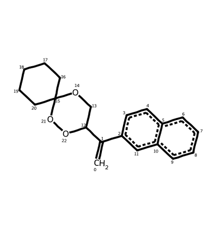 C=C(c1ccc2ccccc2c1)C1COC2(CCCCC2)OO1